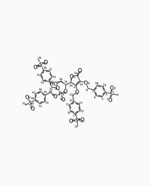 CS(=O)(=O)c1ccc(COC2=C(OCc3ccc(S(C)(=O)=O)cc3)[C@@H]([C@H](CO)OP(=O)(OCc3ccc(S(C)(=O)=O)cc3)OCc3ccc(S(C)(=O)=O)cc3)OC2=O)cc1